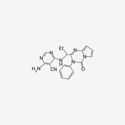 CCC(Nc1ncnc(N)c1C#N)c1nc2cccn2c(=O)n1-c1ccccc1